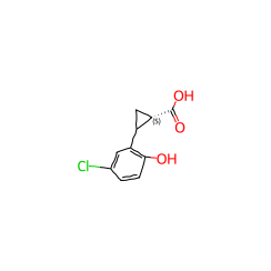 O=C(O)[C@H]1CC1c1cc(Cl)ccc1O